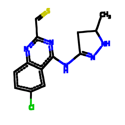 CC1CC(Nc2nc(C=S)nc3ccc(Cl)cc23)=NN1